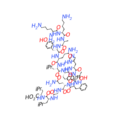 CC(C)C[C@H](NC(=O)[C@H](CC(C)C)NC(=O)CNC(=O)[C@H](CCC(N)=O)NC(=O)[C@H](Cc1ccccc1)NC(=O)[C@@H](NC(=O)[C@H](Cc1cnc[nH]1)NC(=O)[C@H](CCC(=O)O)NC(=O)[C@H](CC(C)C)NC(=O)[C@H](CCC(N)=O)NC(=O)[C@H](Cc1ccc(O)cc1)NC(=O)[C@H](C)NC(=O)[C@H](CCCCN)NC(=O)[C@@H](N)CCCCN)[C@@H](C)O)C(=O)O